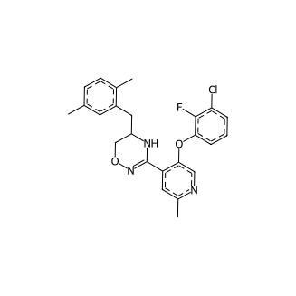 Cc1ccc(C)c(CC2CON=C(c3cc(C)ncc3Oc3cccc(Cl)c3F)N2)c1